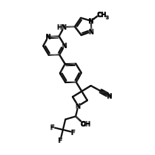 Cn1cc(Nc2nccc(-c3ccc(C4(CC#N)CN(C(O)CC(F)(F)F)C4)cc3)n2)cn1